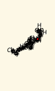 CC1(C)CCC(c2ccc(Cl)cc2)=C(CN2CCN(c3ccc(C(=O)NS(=O)(=O)c4ccc(N[C@H](CCN5C[C@@H]6C[C@H]5CN6Cc5ccc(NC6CCC(=O)NC6=O)cc5)CSc5ccccc5)c(S(=O)(=O)C(F)(F)F)c4)cc3)CC2)C1